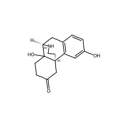 O=C1CCC2(O)[C@H]3Cc4ccc(O)cc4[C@@]2(CCN3)C1